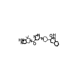 CC1(C)CN(C(=O)c2cc(N3CCC(c4cc5ccccc5[nH]c4=O)CC3)ncn2)Cc2cn[nH]c21